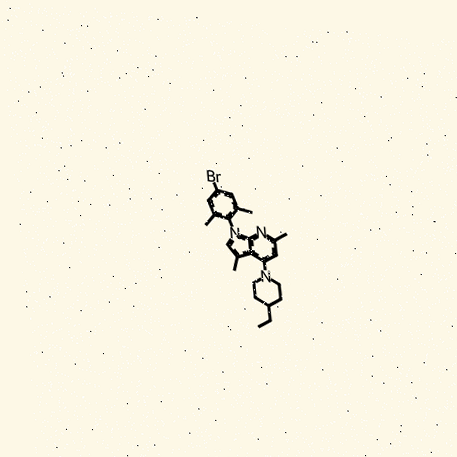 CCC1CCN(c2cc(C)nc3c2c(C)cn3-c2c(C)cc(Br)cc2C)CC1